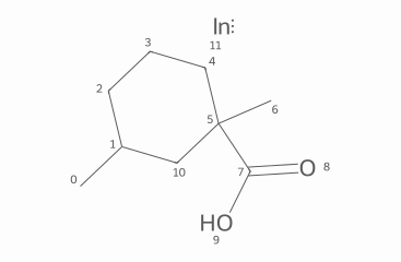 CC1CCCC(C)(C(=O)O)C1.[In]